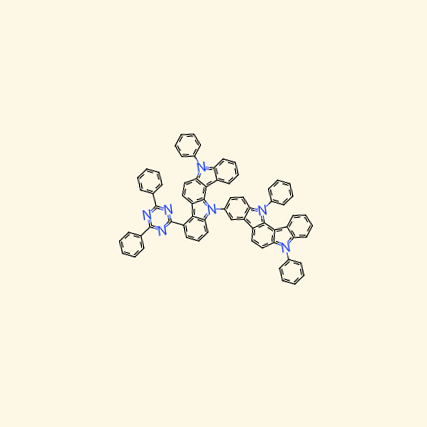 c1ccc(-c2nc(-c3ccccc3)nc(-c3cccc4c3c3ccc5c(c6ccccc6n5-c5ccccc5)c3n4-c3ccc4c(c3)c3ccc5c(c6ccccc6n5-c5ccccc5)c3n4-c3ccccc3)n2)cc1